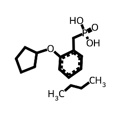 CCCC.O=P(O)(O)Cc1ccccc1OC1CCCC1